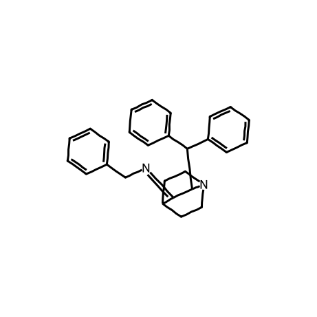 c1ccc(CN=C2C3CCN(CC3)C2C(c2ccccc2)c2ccccc2)cc1